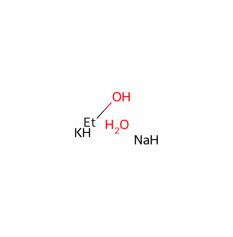 CCO.O.[KH].[NaH]